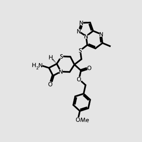 COc1ccc(COC(=O)C2(CSc3cc(C)nc4cnnn34)CS[C@@H]3C(N)C(=O)N3C2)cc1